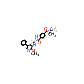 COC1=NC=C(c2ccccc2)C2SC(NC(=O)c3ccc(C(=O)N(C)C)cc3)=NC12